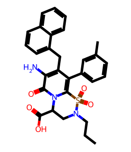 CCCN1CC(C(=O)O)n2c(c(-c3cccc(C)c3)c(Cc3cccc4ccccc34)c(N)c2=O)S1(=O)=O